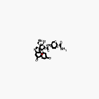 CCN1[C@@H](CC(C)(C)C)[C@]2(C=Nc3cc(Cl)ccc32)[C@@H](c2cccc(Cl)c2)[C@@H]1C(=O)N[C@@H]1CC[C@@H](C(N)=O)OC1